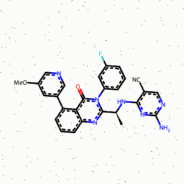 COc1cncc(-c2cccc3nc([C@H](C)Nc4nc(N)ncc4C#N)n(-c4cccc(F)c4)c(=O)c23)c1